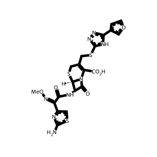 CO/N=C(\C(=O)N[C@@H]1C(=O)N2C(C(=O)O)=C(CSc3nnc(-c4ccoc4)[nH]3)CS[C@H]12)c1csc(N)n1